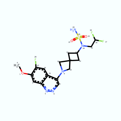 COc1cc2nncc(N3CC4(CC(N(CC(F)F)S(N)(=O)=O)C4)C3)c2cc1F